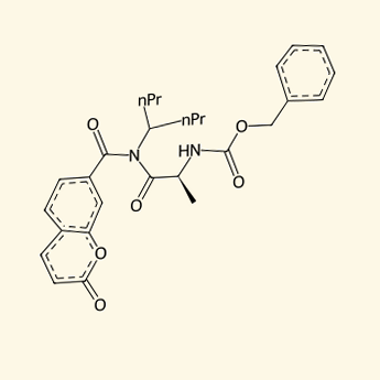 CCCC(CCC)N(C(=O)c1ccc2ccc(=O)oc2c1)C(=O)[C@H](C)NC(=O)OCc1ccccc1